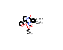 C=CCOC(=O)N1c2cc(OC)c(OC)cc2C(=O)N2CCCCC2[C@@H]1OC1CCCCO1